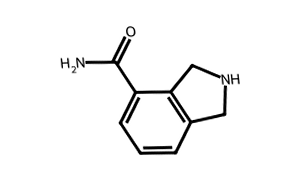 NC(=O)c1cccc2c1CNC2